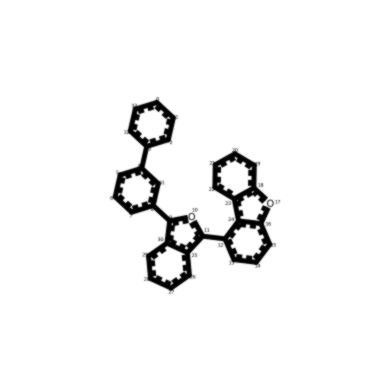 c1ccc(-c2cccc(-c3oc(-c4cccc5oc6ccccc6c45)c4ccccc34)c2)cc1